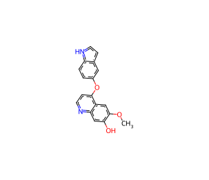 COc1cc2c(Oc3ccc4[nH]ccc4c3)ccnc2cc1O